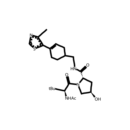 CC(=O)N[C@H](C(=O)N1C[C@H](O)C[C@H]1C(=O)NCC1CC=C(c2scnc2C)CC1)C(C)(C)C